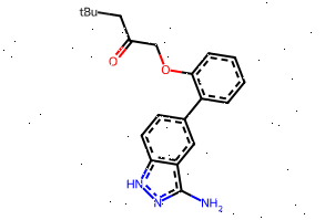 CC(C)(C)CC(=O)COc1ccccc1-c1ccc2[nH]nc(N)c2c1